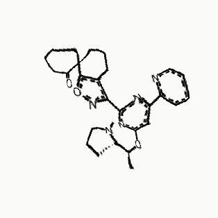 C[C@H](Oc1cc(-c2ccccn2)nc(-c2noc3c2CCC[C@@]32CCCCC2=O)n1)[C@@H]1CCCN1C